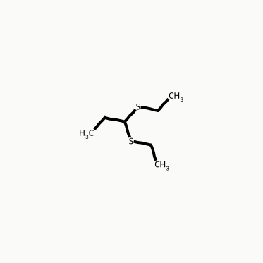 C[CH]C(SCC)SCC